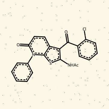 CC(=O)Nc1sc2c(ccc(=O)n2-c2ccccc2)c1C(=O)c1ccccc1Cl